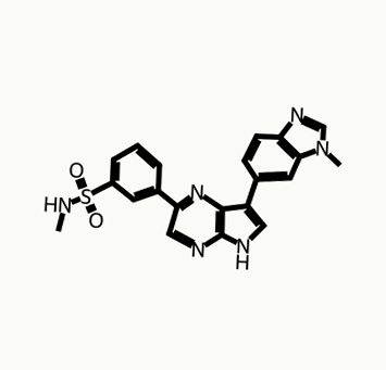 CNS(=O)(=O)c1cccc(-c2cnc3[nH]cc(-c4ccc5ncn(C)c5c4)c3n2)c1